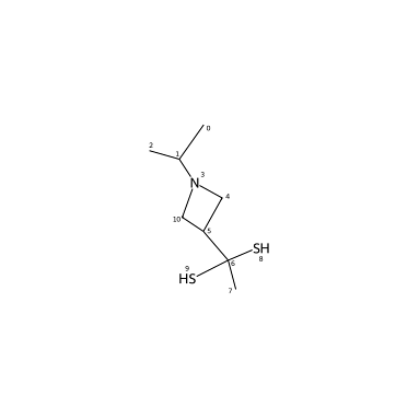 CC(C)N1CC(C(C)(S)S)C1